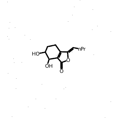 CCCC=C1OC(=O)C2=C1CCC(O)C2O